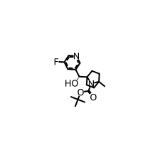 CC(C)(C)OC(=O)N1C2(C)CCC1([C@H](O)c1cncc(F)c1)CC2